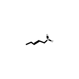 [CH2]CC=CC[N+](=O)[O-]